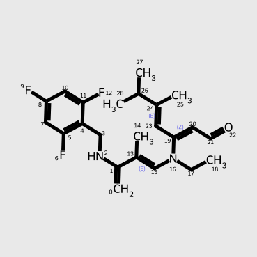 C=C(NCc1c(F)cc(F)cc1F)/C(C)=C/N(CC)C(=C\C=O)/C=C(\C)C(C)C